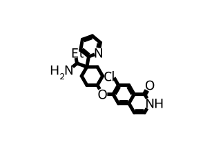 CCC(N)C1(c2ccccn2)CCC(Oc2cc3cc[nH]c(=O)c3cc2Cl)CC1